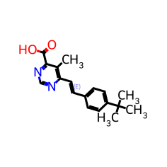 Cc1c(/C=C/c2ccc(C(C)(C)C)cc2)ncnc1C(=O)O